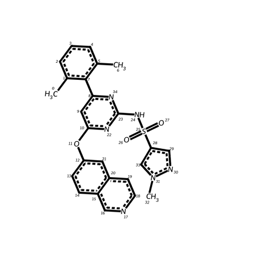 Cc1cccc(C)c1-c1cc(Oc2ccc3cnccc3c2)nc(NS(=O)(=O)c2cnn(C)c2)n1